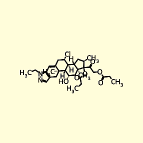 CCC(=O)OCC(=O)C1(OC(=O)CC)[C@H](C)C[C@H]2[C@H]3[C@H]([C@@H](O)C[C@@]21C)[C@@]1(C)Cc2cnn(CC)c2C=C1C[C@H]3Cl